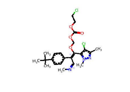 C/N=C\C(=C(\OCOC(=O)OCCCl)c1c(Cl)c(C)nn1C)c1ccc(C(C)(C)C)cc1